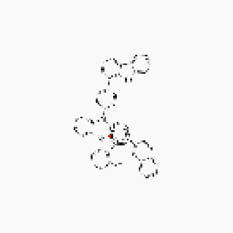 Fc1cccc2c1c1ccccc1n2-c1ccccc1N(c1ccc(-c2ccc3ccccc3c2)cc1)c1ccc(-c2cccc3c2oc2ccccc23)cc1